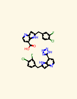 Fc1cc(Cc2cc3nccc(-c4nnn[nH]4)c3[nH]2)ccc1Cl.O=C(O)c1ccnc2cc(Cc3ccc(Cl)c(F)c3)[nH]c12